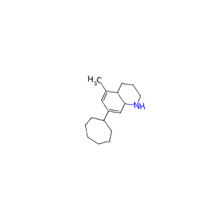 CC1=CC(C2CCCCCC2)=CC2NCCCC12